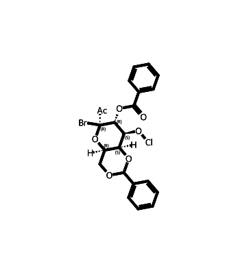 CC(=O)[C@@]1(Br)O[C@@H]2COC(c3ccccc3)O[C@@H]2[C@H](OCl)[C@H]1OC(=O)c1ccccc1